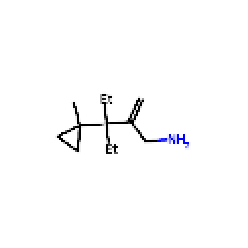 C=C(CN)C(CC)(CC)C1(C)CC1